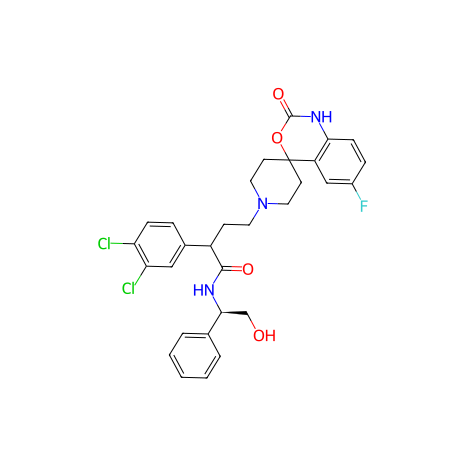 O=C1Nc2ccc(F)cc2C2(CCN(CCC(C(=O)N[C@@H](CO)c3ccccc3)c3ccc(Cl)c(Cl)c3)CC2)O1